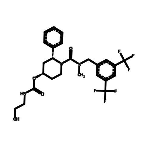 CN(Cc1cc(C(F)(F)F)cc(C(F)(F)F)c1)C(=O)N1CC[C@@H](OC(=O)NCCO)C[C@@H]1c1ccccc1